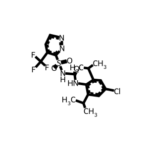 CC(C)c1cc(Cl)cc(C(C)C)c1NC(=O)NS(=O)(=O)c1nnccc1C(F)(F)F